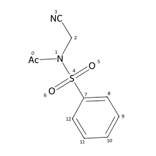 CC(=O)N(CC#N)S(=O)(=O)c1ccccc1